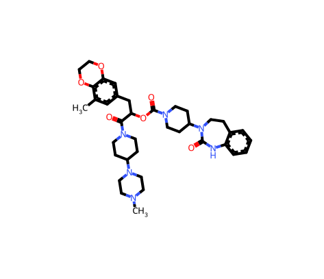 Cc1cc(CC(OC(=O)N2CCC(N3CCc4ccccc4NC3=O)CC2)C(=O)N2CCC(N3CCN(C)CC3)CC2)cc2c1OCCO2